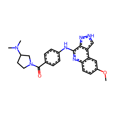 COc1ccc2nc(Nc3ccc(C(=O)N4CCC(N(C)C)C4)cc3)c3n[nH]cc3c2c1